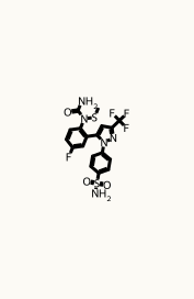 CSN(C(N)=O)c1ccc(F)cc1-c1cc(C(F)(F)F)nn1-c1ccc(S(N)(=O)=O)cc1